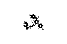 C=C(NCCCOc1c(N)c(C(=O)c2ccc(C)cc2)nn1-c1ccc(Cl)cc1)c1cccnc1